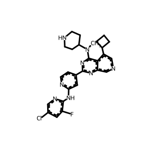 CN(c1nc(-c2ccnc(Nc3ncc(Cl)cc3F)c2)nc2cncc(C3CCC3)c12)C1CCNCC1